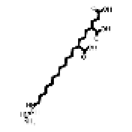 NNNNCCCCCCCCCCCCC(CCCC(CCC(=O)O)C(=O)O)C(=O)O